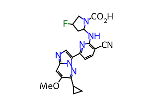 COc1cc2ncc(-c3ccc(C#N)c(NC4CC(F)CN4C(=O)O)n3)n2nc1C1CC1